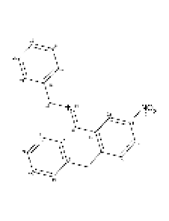 O=[N+]([O-])c1ccc(Cc2ccccc2)c(/C=N/Cc2ccccc2)c1